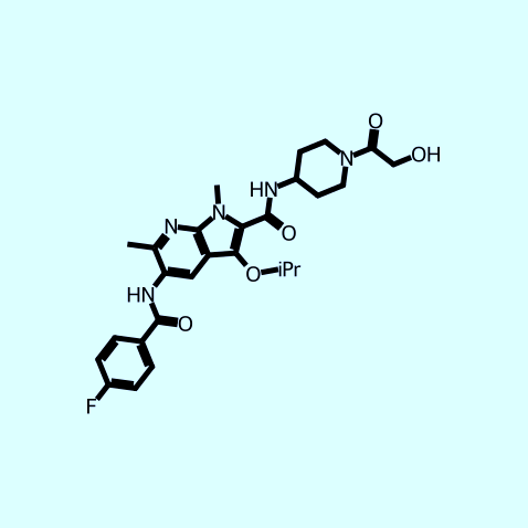 Cc1nc2c(cc1NC(=O)c1ccc(F)cc1)c(OC(C)C)c(C(=O)NC1CCN(C(=O)CO)CC1)n2C